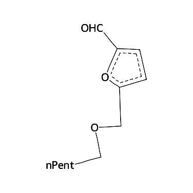 CCCCCCOCc1ccc(C=O)o1